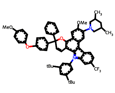 COc1ccc(Oc2ccc(C3(c4ccccc4)C=Cc4c(c5cc(OC)c(N6CC(C)CC(C)C6)cc5c5c6ccc(C(F)(F)F)cc6n(-c6cc(C(C)(C)C)cc(C(C)(C)C)c6)c45)O3)cc2)cc1